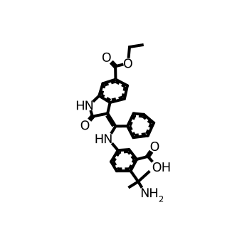 CCOC(=O)c1ccc2c(c1)NC(=O)/C2=C(\Nc1ccc(C(C)(C)N)c(C(=O)O)c1)c1ccccc1